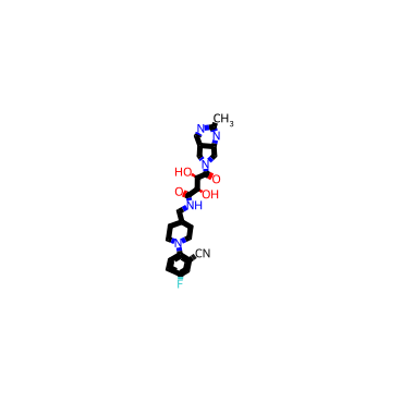 CC1=NC2CN(C(=O)[C@H](O)[C@@H](O)C(=O)NCC3CCN(c4ccc(F)cc4C#N)CC3)CC2C=N1